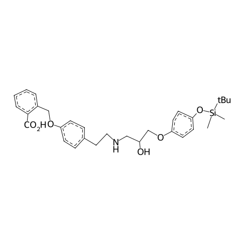 CC(C)(C)[Si](C)(C)Oc1ccc(OCC(O)CNCCc2ccc(OCc3ccccc3C(=O)O)cc2)cc1